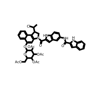 CC(=O)OCC1OC(Oc2cc3c(c4ccccc24)C(C(C)Cl)CN3C(=O)c2cc3cc(NC(=O)c4cc5ccccc5[nH]4)ccc3[nH]2)C(OC(C)=O)C(OC(C)=O)C1OC(C)=O